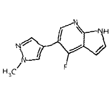 Cn1cc(-c2cnc3[nH]ccc3c2F)cn1